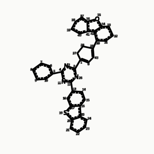 C1=C(c2nc(-c3ccccc3)nc(-c3ccc4c(c3)sc3ccccc34)n2)CCC(c2cccc3oc4ccccc4c23)=C1